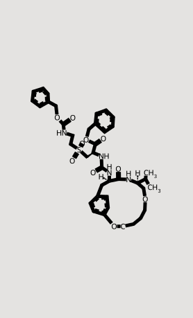 CC(C)[C@H]1COCCCCOc2ccc(cc2)C[C@@H](NC(=O)N[C@@H](CS(=O)(=O)CCNC(=O)OCc2ccccc2)C(=O)OCc2ccccc2)C(=O)N1